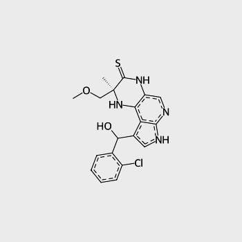 COC[C@]1(C)Nc2c(cnc3[nH]cc(C(O)c4ccccc4Cl)c23)NC1=S